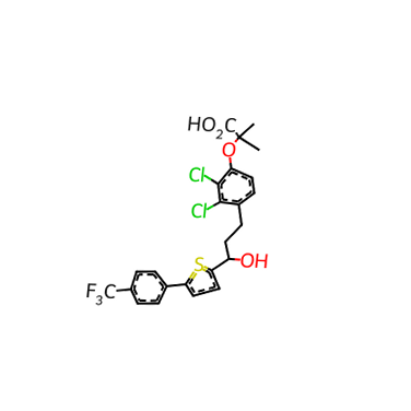 CC(C)(Oc1ccc(CCC(O)c2ccc(-c3ccc(C(F)(F)F)cc3)s2)c(Cl)c1Cl)C(=O)O